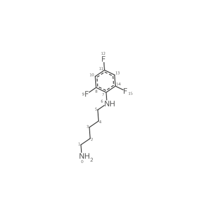 NCCCCCNc1c(F)cc(F)cc1F